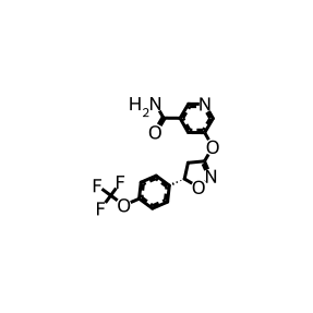 NC(=O)c1cncc(OC2=NO[C@H](c3ccc(OC(F)(F)F)cc3)C2)c1